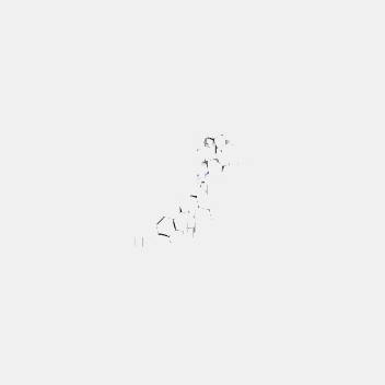 CC(C)C(NC(=O)c1ccc(O)c(O)c1Cl)C(=O)N/N=C/[C@@](C)([C@H](C(=O)O)N1C(=O)C[C@H]1C)[SH](=O)=O